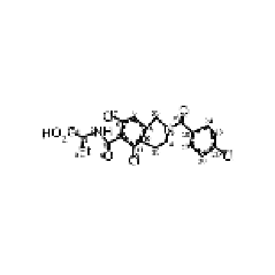 CC[C@H](NC(=O)c1c(Cl)cc2c(c1Cl)CCN(C(=O)c1ccc(Cl)cc1)C2)C(=O)O